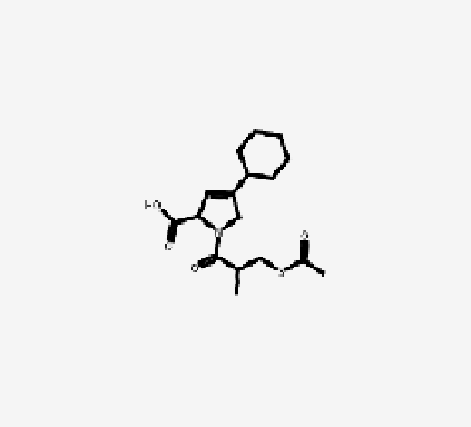 CC(=O)SCC(C)C(=O)N1CC(C2CCCCC2)=CC1C(=O)O